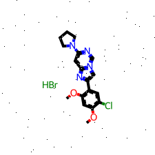 Br.COc1cc(OC)c(-c2cn3cnc(N4CCCC4)cc3n2)cc1Cl